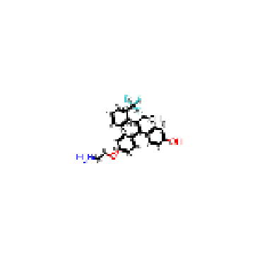 CC/C(=C(\c1ccc(O)cc1)c1ccc(OCCN)cc1)c1ccccc1C(F)(F)F